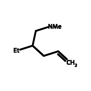 C=CCC(CC)CNC